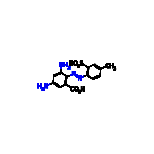 Cc1ccc(N=Nc2c(N)cc(N)cc2C(=O)O)c(S(=O)(=O)O)c1